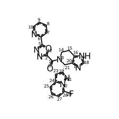 O=C(c1nnc(-c2ccccn2)o1)N1CCc2[nH]cnc2[C@@H]1c1cc2cccc(F)n2n1